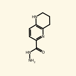 NNC(=O)c1ccc2c(n1)CCCN2